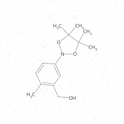 Cc1ccc(N2OC(C)(C)C(C)(C)O2)cc1CO